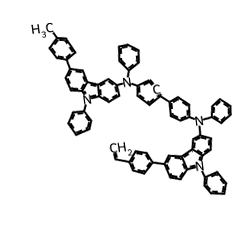 C=Cc1ccc(-c2ccc3c(c2)c2cc(N(c4ccccc4)c4ccc(-c5ccc(N(c6ccccc6)c6ccc7c(c6)c6cc(-c8ccc(C)cc8)ccc6n7-c6ccccc6)cc5)cc4)ccc2n3-c2ccccc2)cc1